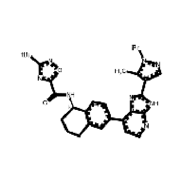 Cc1c(-c2nc3c(-c4ccc5c(c4)CCC[C@H]5NC(=O)c4nc(C(C)(C)C)no4)ccnc3[nH]2)cnn1C(C)C